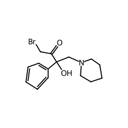 O=C(CBr)C(O)(CN1CCCCC1)c1ccccc1